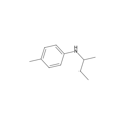 C[CH]C(C)Nc1ccc(C)cc1